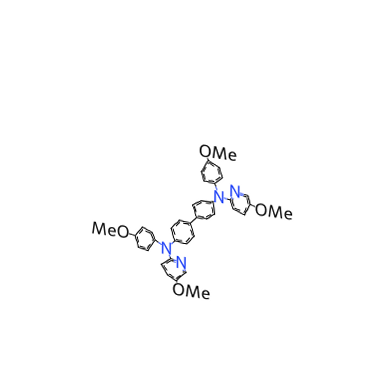 COc1ccc(N(c2ccc(-c3ccc(N(c4ccc(OC)cc4)c4ccc(OC)cn4)cc3)cc2)c2ccc(OC)cn2)cc1